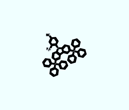 N#Cc1ccc(-n2c3ccc([Si](c4ccccc4)(c4ccccc4)c4ccccc4)cc3c3cc([Si](c4ccccc4)(c4ccccc4)c4ccccc4)ccc32)c(C(F)(F)F)c1